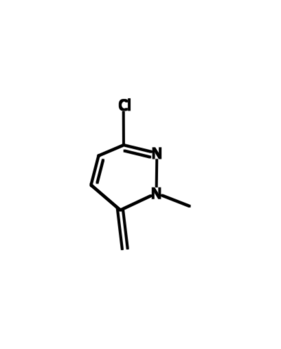 C=C1C=CC(Cl)=NN1C